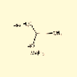 Br.CC(C)O.[MgH2]